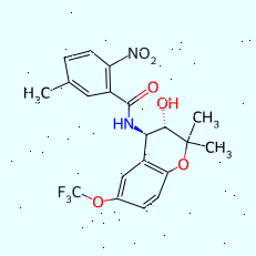 Cc1ccc([N+](=O)[O-])c(C(=O)N[C@@H]2c3cc(OC(F)(F)F)ccc3OC(C)(C)[C@H]2O)c1